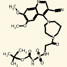 COc1cc2ncc(C#N)c(N3CCCN(C(=O)CNS(=O)(=O)NC(=O)OC(C)(C)C)CC3)c2cc1OC